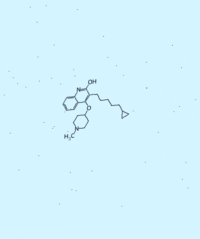 CN1CCC(Oc2c(CCCCCC3CC3)c(O)nc3ccccc23)CC1